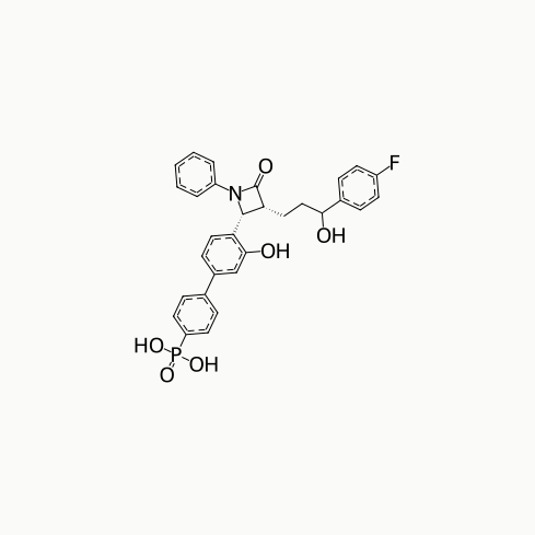 O=C1[C@H](CCC(O)c2ccc(F)cc2)[C@H](c2ccc(-c3ccc(P(=O)(O)O)cc3)cc2O)N1c1ccccc1